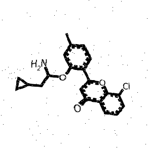 Cc1ccc(-c2cc(=O)c3cccc(Cl)c3o2)c(OC(N)CC2CC2)c1